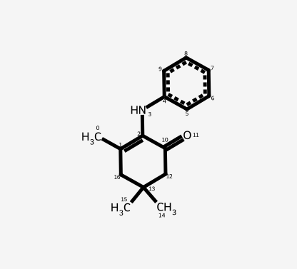 CC1=C(Nc2ccccc2)C(=O)CC(C)(C)C1